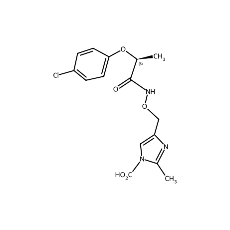 Cc1nc(CONC(=O)[C@H](C)Oc2ccc(Cl)cc2)cn1C(=O)O